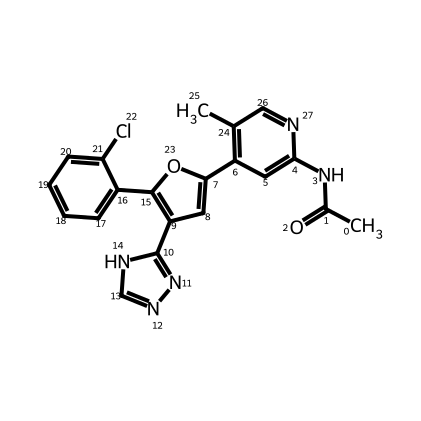 CC(=O)Nc1cc(-c2cc(-c3nnc[nH]3)c(-c3ccccc3Cl)o2)c(C)cn1